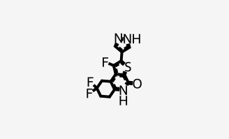 O=c1[nH]c2c(c3c(F)c(-c4cn[nH]c4)sc13)CC(F)(F)CC2